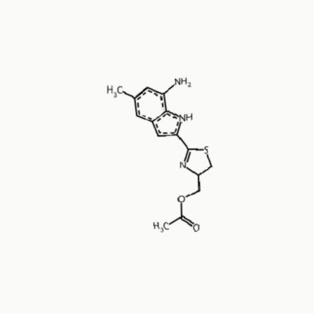 CC(=O)OCC1CSC(c2cc3cc(C)cc(N)c3[nH]2)=N1